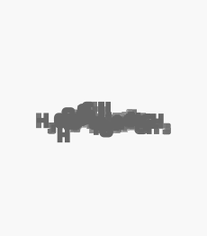 CNC(=O)n1ccc2cc(Oc3ccnc(NC(=O)c4ccc(C5CCN(C[C@H](C)O)CC5)cc4)c3)c(OC)cc21